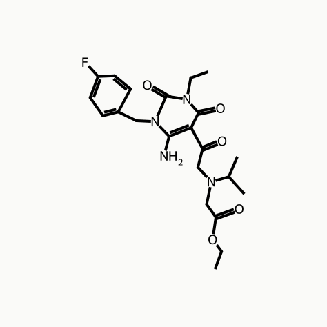 CCOC(=O)CN(CC(=O)c1c(N)n(Cc2ccc(F)cc2)c(=O)n(CC)c1=O)C(C)C